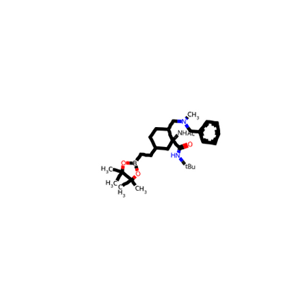 CC(=O)NC1(C(=O)NC(C)(C)C)CC(CCB2OC(C)(C)C(C)(C)O2)CCC1CN(C)Cc1ccccc1